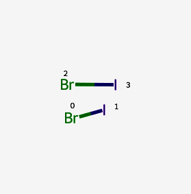 BrI.BrI